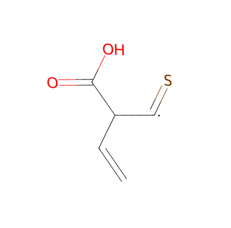 C=CC([C]=S)C(=O)O